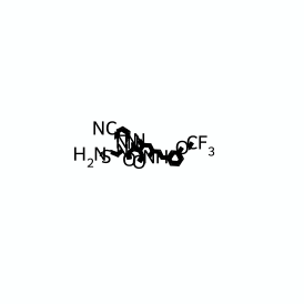 N#Cc1ccc(-n2nc3c(c2C(=O)NCCSN)C(=O)NC(CCc2cccc(OCC(F)(F)F)c2)C3)nc1